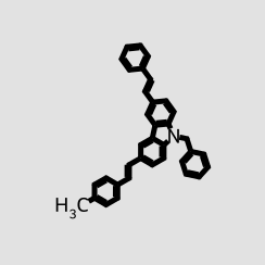 Cc1ccc(/C=C/c2ccc3c(c2)c2cc(/C=C/c4ccccc4)ccc2n3Cc2ccccc2)cc1